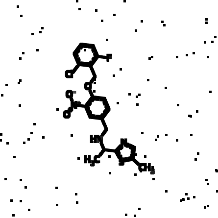 Cc1cnc(C(C)NCc2ccc(OCc3c(F)cccc3Cl)c([N+](=O)[O-])c2)s1